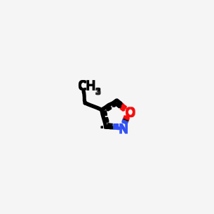 CCc1[c]noc1